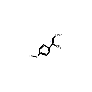 CCOc1ccc(/C(=C/OC)C(F)(F)F)cc1